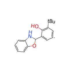 CC(C)(C)c1c[c]cc(C2Nc3ccccc3O2)c1O